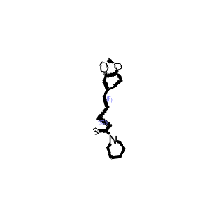 S=C(/C=C/C=C/c1ccc2c(c1)OCO2)N1CCCCC1